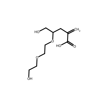 C=C(CC(CO)OCCOCCO)C(=O)O